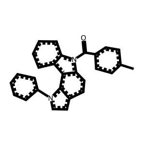 Cc1ccc(C(=O)n2c3ccccc3c3c4c(ccc32)ccn4-c2ccccc2)cc1